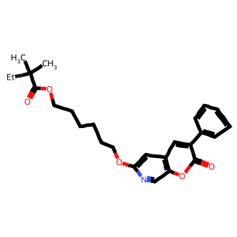 CCC(C)(C)C(=O)OCCCCCCOc1cc2cc(-c3ccccc3)c(=O)oc2cn1